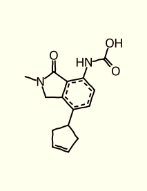 CN1Cc2c(C3CC=CC3)ccc(NC(=O)O)c2C1=O